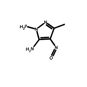 Cc1nn(P)c(N)c1N=O